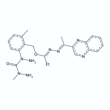 CC/C(=N\N=C(C)c1cnc2ccccc2n1)OCc1c(C)cccc1N(N)C(=O)N(C)N